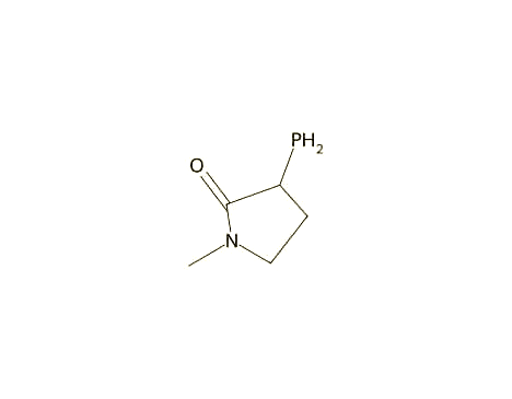 CN1CCC(P)C1=O